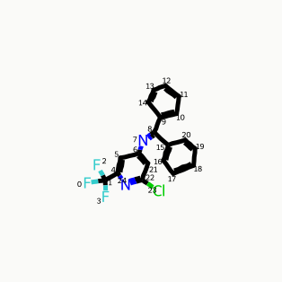 FC(F)(F)c1cc(N=C(c2ccccc2)c2ccccc2)cc(Cl)n1